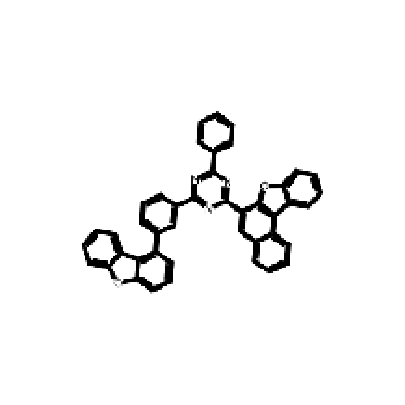 c1ccc(-c2nc(-c3cccc(-c4cccc5oc6ccccc6c45)c3)nc(-c3cc4ccccc4c4c3oc3ccccc34)n2)cc1